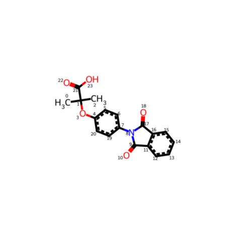 CC(C)(Oc1ccc(N2C(=O)c3ccccc3C2=O)cc1)C(=O)O